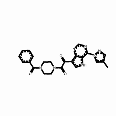 Cc1cnn(-c2ncnc3c(C(=O)C(=O)N4CCN(C(=O)c5ccccc5)CC4)c[nH]c23)c1